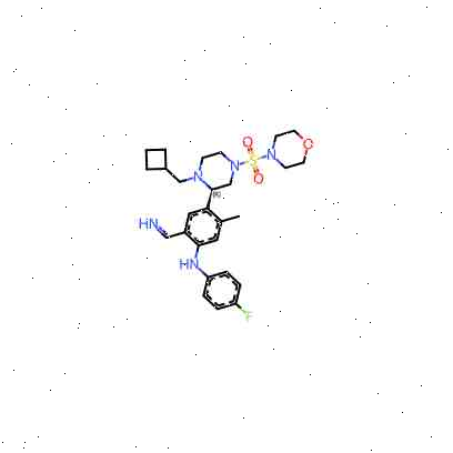 Cc1cc(Nc2ccc(F)cc2)c(C=N)cc1[C@@H]1CN(S(=O)(=O)N2CCOCC2)CCN1CC1CCC1